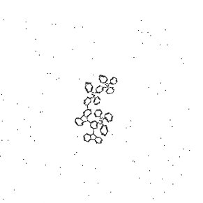 c1ccc([Si](c2ccccc2)(c2ccccc2)c2ccc([Si](c3ccccc3)(c3ccccc3)c3cccc(-c4ccc5c(c4)-c4ccccc4C5c4cc(C5c6ccccc6-c6ccccc65)cc([Si](c5ccccc5)(c5ccccc5)c5ccccc5)c4)c3)cc2)cc1